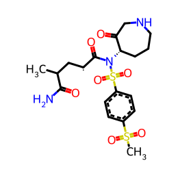 CC(C[CH]C(=O)N([C@H]1CCCNCC1=O)S(=O)(=O)c1ccc(S(C)(=O)=O)cc1)C(N)=O